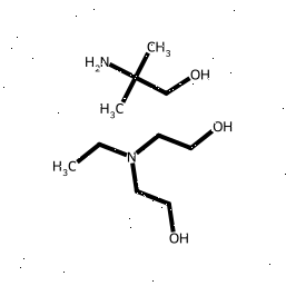 CC(C)(N)CO.CCN(CCO)CCO